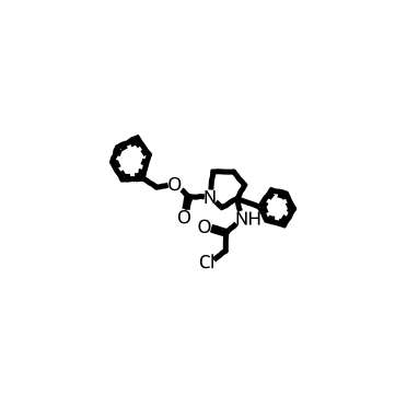 O=C(CCl)NC1(c2ccccc2)CCCN(C(=O)OCc2ccccc2)C1